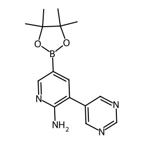 CC1(C)OB(c2cnc(N)c(-c3cncnc3)c2)OC1(C)C